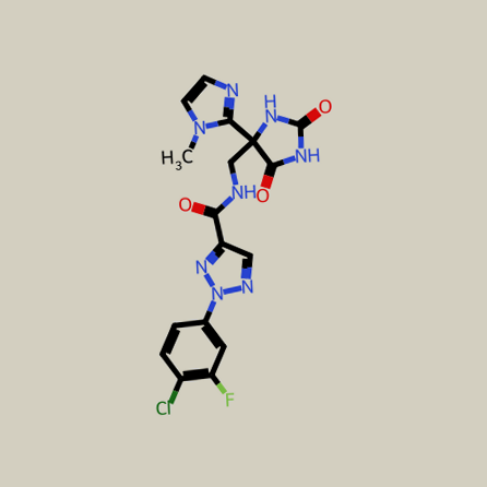 Cn1ccnc1C1(CNC(=O)c2cnn(-c3ccc(Cl)c(F)c3)n2)NC(=O)NC1=O